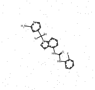 [2H]C([2H])(c1ccnc(N)c1)n1ccc2c(NC(=O)Nc3ccccc3F)cccc21